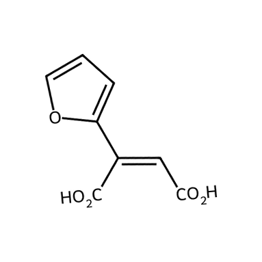 O=C(O)C=C(C(=O)O)c1ccco1